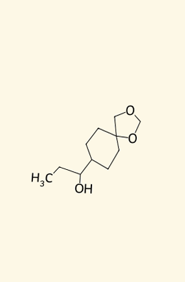 CCC(O)C1CCC2(CC1)COCO2